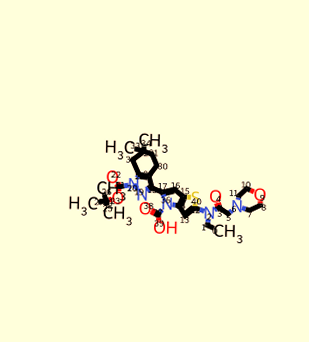 CCN(C(=O)CN1CCOCC1)c1cc2c(cc(-c3nn(C(=O)OC(C)(C)C)c4c3CCC(C)(C)C4)n2C(=O)O)s1